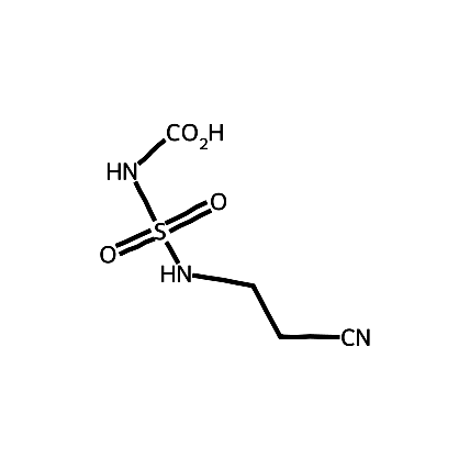 N#CCCNS(=O)(=O)NC(=O)O